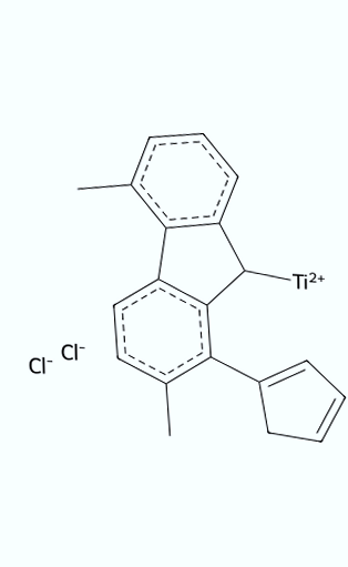 Cc1ccc2c(c1C1=CC=CC1)[CH]([Ti+2])c1cccc(C)c1-2.[Cl-].[Cl-]